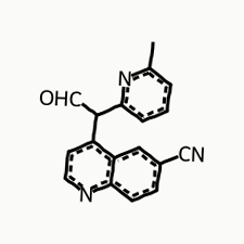 Cc1cccc(C(C=O)c2ccnc3ccc(C#N)cc23)n1